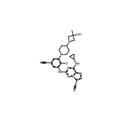 CC1(O)CN(C2CCN(c3cc(C#N)cc(Nc4nc(NC5CC5)c5ncc(C#N)n5n4)c3Cl)CC2)C1